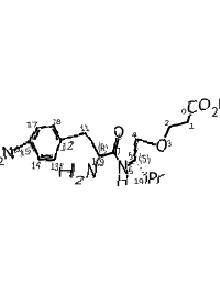 CCOC(=O)CCOC[C@@H](NC(=O)[C@H](N)Cc1ccc(N)cc1)C(C)C